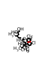 CCC(CCNC(=O)[C@@H]1N[C@H](CC(C)(C)C)[C@]2(C(=O)Nc3cc(Cl)c(F)cc32)[C@H]1c1ccc(F)c(Cl)c1)C[C@H](O)CO